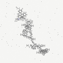 CCCc1cc2c(cc1C)C(c1ccccc1C(=O)N(C)CCCC(=O)N1CCCC1C(=O)NC(CCCSSCCC(=O)NCC#Cc1cn([C@H]3CC(O)[C@@H](COP(=O)(O)OP(=O)(O)OP(=O)(O)O)O3)c3ncnc(N)c13)C(=O)NC(CC(=O)O)C(=O)NC(CC(=O)O)C(=O)O)C1C=C(C)/C(=N/CC)C=C1C2